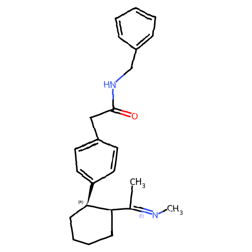 C/N=C(\C)C1CCCC[C@H]1c1ccc(CC(=O)NCc2ccccc2)cc1